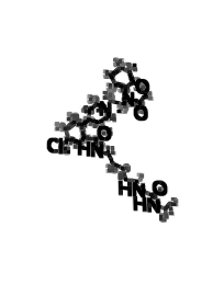 CC(C)NC(=O)NCCCCCNC(=O)c1cc(Cl)ccc1C1CCN(CCN2C(=O)COc3ccccc32)CC1